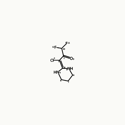 O=C(C(Cl)=C1NCCCN1)C(F)F